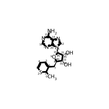 CC1SC=CC=C1C[C@H]1O[C@@H](n2cnc3c(N)ncnc32)[C@H](O)[C@@H]1O